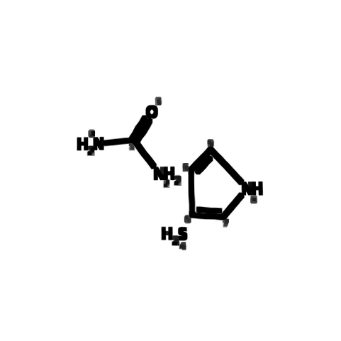 NC(N)=O.S.c1cc[nH]c1